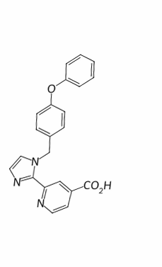 O=C(O)c1ccnc(-c2nccn2Cc2ccc(Oc3ccccc3)cc2)c1